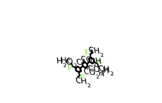 C=CC(F)c1cc(-c2c(C(=O)O)c(C(=O)O)c(-c3cc(C(F)C=C)cc(C(F)C=C)c3)c(C(=O)O)c2C(=O)O)cc(C(F)C=C)c1